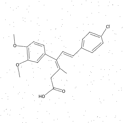 COc1ccc(C(/C=C/c2ccc(Cl)cc2)=C(/C)CC(=O)O)cc1OC